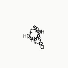 C[C@H]1C/C=C/[C@H](O)[C@@H]2CC[C@H]2CN2CCCCc3cc(Cl)ccc3COc3ccc(cc32)C(O)NS(=O)(=O)[C@H]1C1CCC1